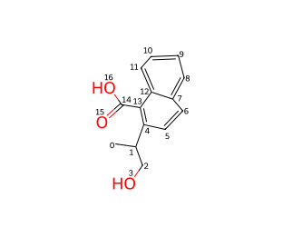 CC(CO)c1ccc2ccccc2c1C(=O)O